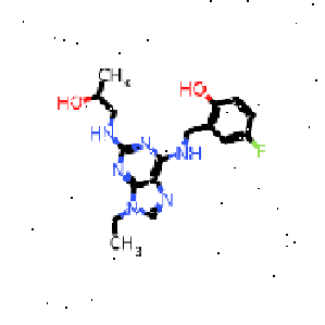 CCn1cnc2c(NCc3cc(F)ccc3O)nc(NCC(C)O)nc21